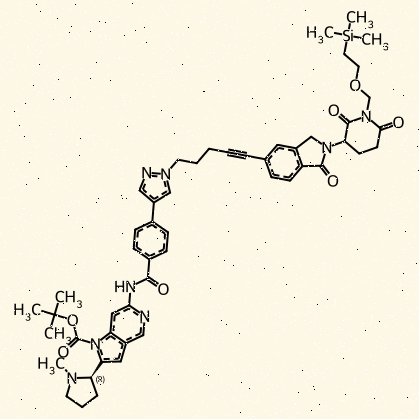 CN1CCC[C@@H]1c1cc2cnc(NC(=O)c3ccc(-c4cnn(CCCC#Cc5ccc6c(c5)CN(C5CCC(=O)N(COCC[Si](C)(C)C)C5=O)C6=O)c4)cc3)cc2n1C(=O)OC(C)(C)C